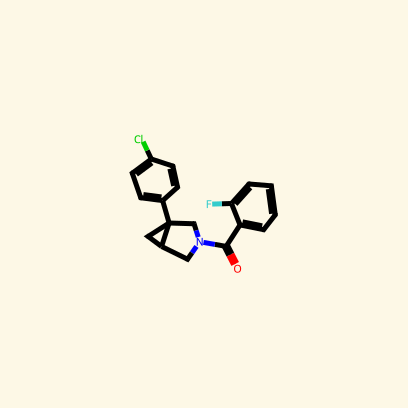 O=C(c1ccccc1F)N1CC2CC2(c2ccc(Cl)cc2)C1